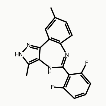 Cc1ccc2c(c1)-c1n[nH]c(C)c1NC(c1c(F)cccc1F)=N2